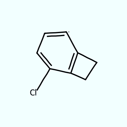 Clc1cc[c]c2c1CC2